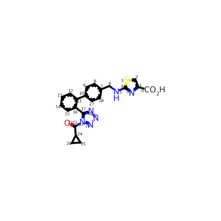 O=C(O)c1csc(NCc2ccc(-c3ccccc3-c3nnnn3C(=O)C3CC3)cc2)n1